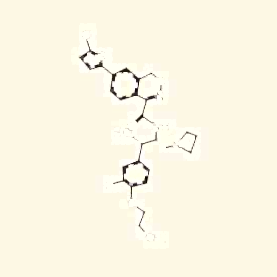 CCCOc1ccc([C@@H](O)[C@@H](CN2CCC2)NC(=O)C2=NOCc3cc(-c4ccc(Cl)s4)ccc32)cc1F